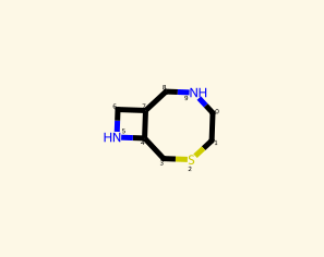 C1CSCC2NCC2CN1